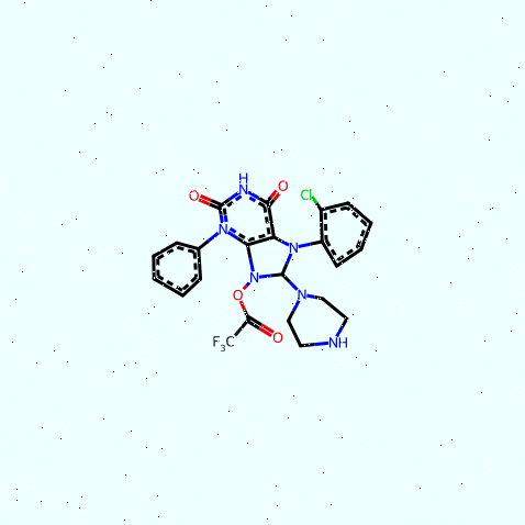 O=C(ON1c2c(c(=O)[nH]c(=O)n2-c2ccccc2)N(c2ccccc2Cl)C1N1CCNCC1)C(F)(F)F